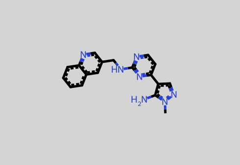 Cn1ncc(-c2ccnc(NCc3cnc4ccccc4c3)n2)c1N